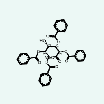 COC(=O)[C@H](OC(=O)c1ccccc1)[C@@H](OC(=O)c1ccccc1)[C@H](O)[C@@H](COC(=O)c1ccccc1)OC(=O)c1ccccc1